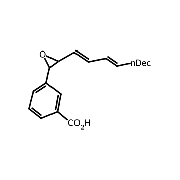 CCCCCCCCCCC=CC=CC1OC1c1cccc(C(=O)O)c1